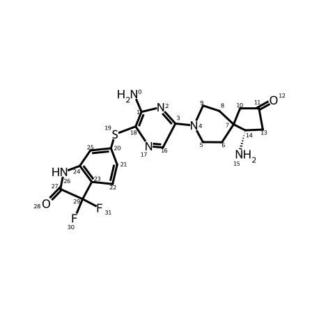 Nc1nc(N2CCC3(CC2)CC(=O)C[C@@H]3N)cnc1Sc1ccc2c(c1)NC(=O)C2(F)F